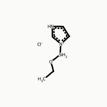 CCO[SiH2][n+]1cc[nH]c1.[Cl-]